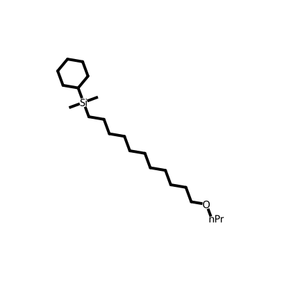 CCCOCCCCCCCCCCC[Si](C)(C)C1CCCCC1